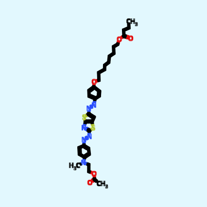 CCCC(=O)OCCCCCCCCCOc1ccc(N=Nc2cc3sc(N=Nc4ccc(N(C)CCOC(C)=O)cc4)nc3s2)cc1